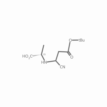 C[C@H](NC(C#N)CC(=O)OC(C)(C)C)C(=O)O